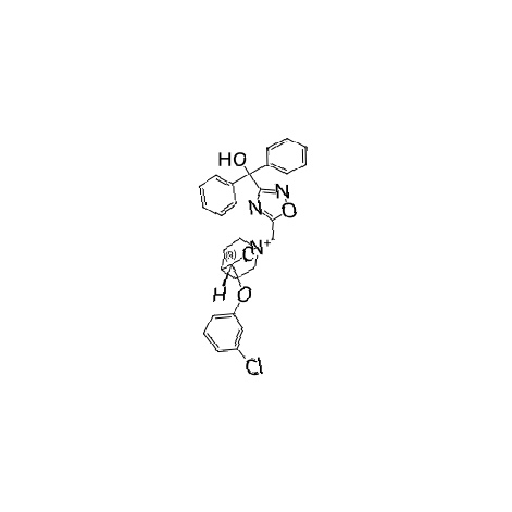 OC(c1ccccc1)(c1ccccc1)c1noc(C[N+]23CCC(CC2)[C@@H](Oc2cccc(Cl)c2)C3)n1